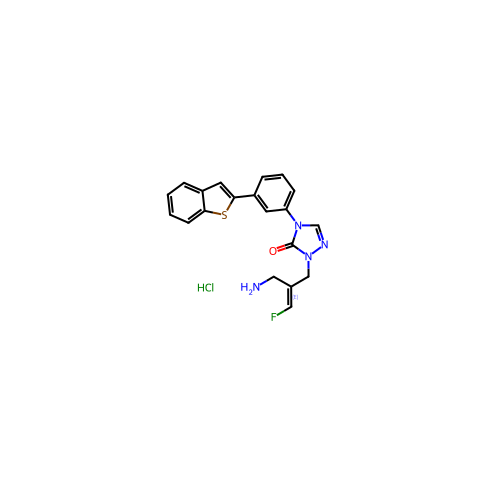 Cl.NC/C(=C\F)Cn1ncn(-c2cccc(-c3cc4ccccc4s3)c2)c1=O